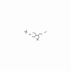 CCOC(=O)CC(CC(C)(C)C)C1CCN(C(=O)OC(C)(C)C)CC1